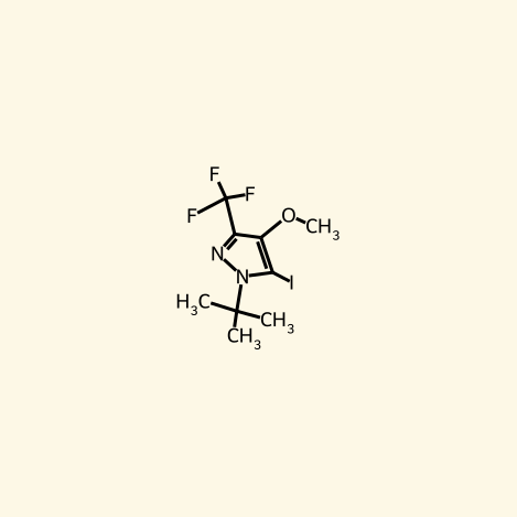 COc1c(C(F)(F)F)nn(C(C)(C)C)c1I